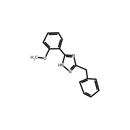 COc1ccccc1-c1nc(Cc2ccccc2)n[nH]1